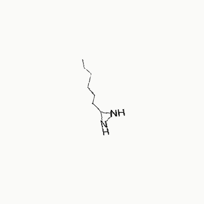 CCCCCCC1NN1